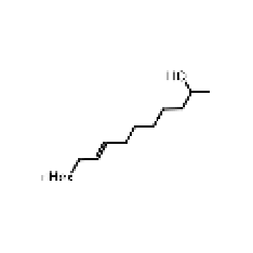 CCCCCCCC=CCCCCCC(C)O